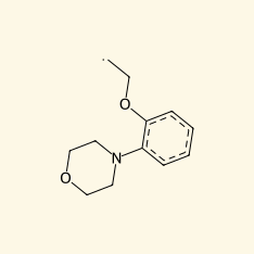 [CH2]COc1ccccc1N1CCOCC1